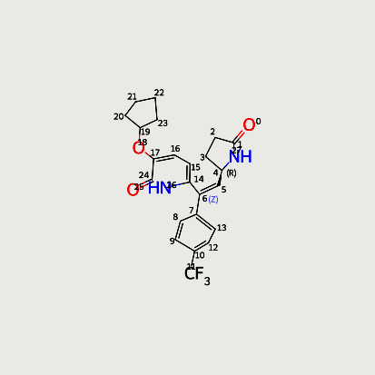 O=C1CC[C@H](/C=C(/c2ccc(C(F)(F)F)cc2)c2ccc(OC3CCCC3)c(=O)[nH]2)N1